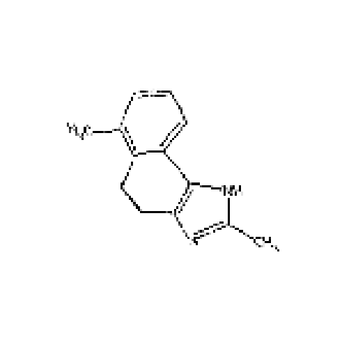 Cc1nc2c([nH]1)-c1cccc(C)c1CC2